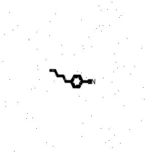 CCC[CH]Cc1ccc(C#N)cc1